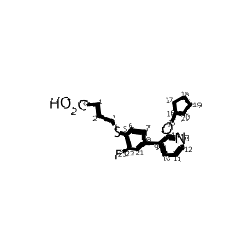 O=C(O)CCCSc1ccc(-c2cccnc2OC2CCCC2)cc1F